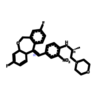 C[C@H](CN1CCOCC1)Nc1ccc(/C=C2\c3ccc(F)cc3COC3C=C(F)C=CC23)cc1[N+](=O)[O-]